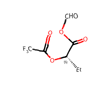 CC[C@H](OC(=O)C(F)(F)F)C(=O)OC=O